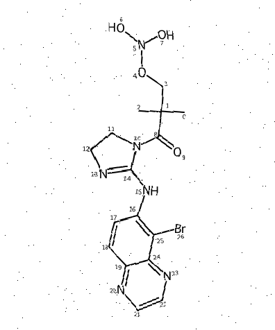 CC(C)(CON(O)O)C(=O)N1CCN=C1Nc1ccc2nccnc2c1Br